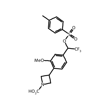 COc1cc(C(OS(=O)(=O)c2ccc(C)cc2)C(F)(F)F)ccc1C1CN(C(=O)O)C1